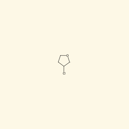 ClC1[CH]OCC1